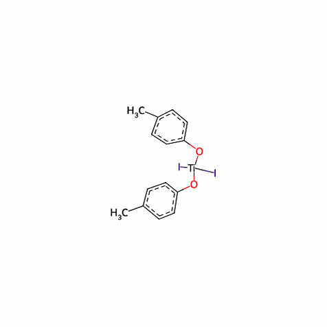 Cc1ccc([O][Ti]([I])([I])[O]c2ccc(C)cc2)cc1